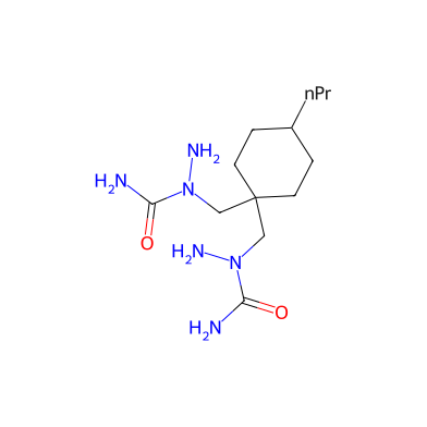 CCCC1CCC(CN(N)C(N)=O)(CN(N)C(N)=O)CC1